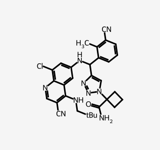 Cc1c(C#N)cccc1C(Nc1cc(Cl)c2ncc(C#N)c(NCC(C)(C)C)c2c1)c1cn(C2(C(N)=O)CCC2)nn1